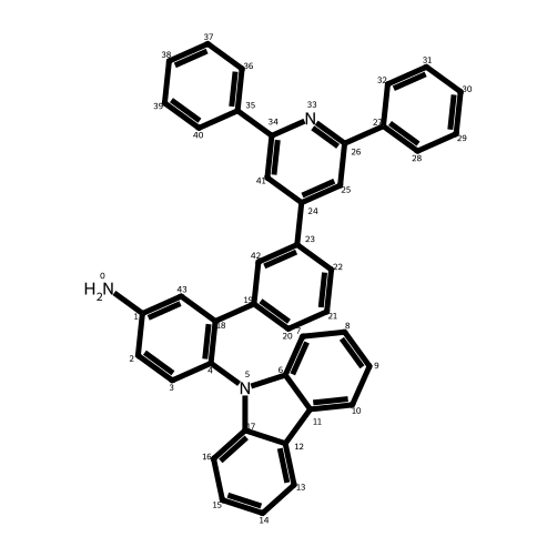 Nc1ccc(-n2c3ccccc3c3ccccc32)c(-c2cccc(-c3cc(-c4ccccc4)nc(-c4ccccc4)c3)c2)c1